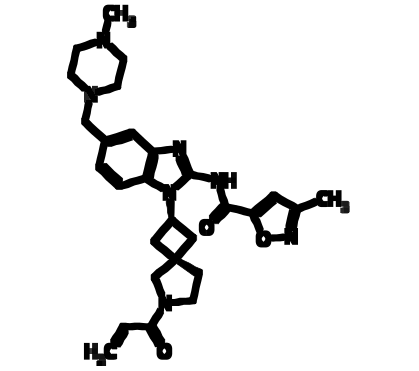 C=CC(=O)N1CC[C@]2(C1)C[C@H](n1c(NC(=O)c3cc(C)no3)nc3cc(CN4CCN(C)CC4)ccc31)C2